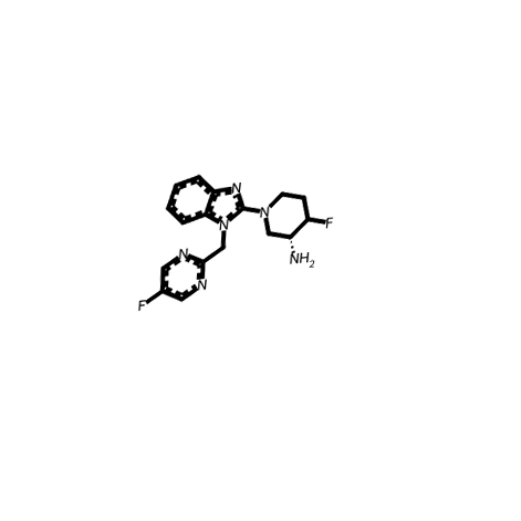 N[C@@H]1CN(c2nc3ccccc3n2Cc2ncc(F)cn2)CCC1F